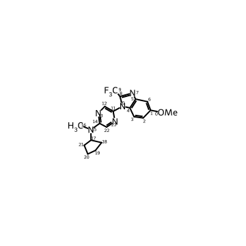 COc1ccc2c(c1)nc(C(F)(F)F)n2-c1cnc(N(C)C2CCCC2)cn1